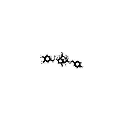 N[C@]1(C(=O)O)[C@H]2[C@@H](C[C@H]1OCc1ccc(Cl)c(Cl)c1)[C@]2(F)C(=O)OCc1ccc(F)cc1